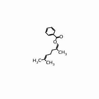 CC(C)=CCCC(C)=COC(=O)c1ccccc1